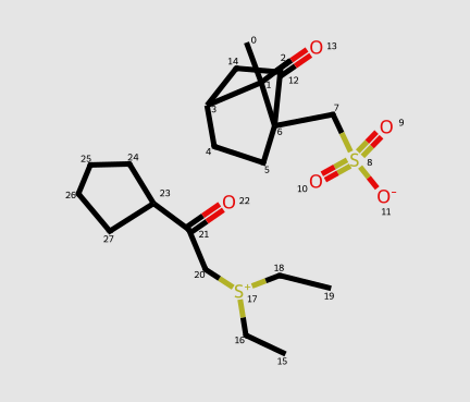 CC1(C)C2CCC1(CS(=O)(=O)[O-])C(=O)C2.CC[S+](CC)CC(=O)C1CCCC1